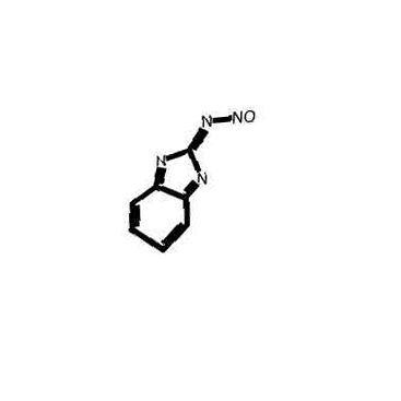 O=NN=C1N=c2ccccc2=N1